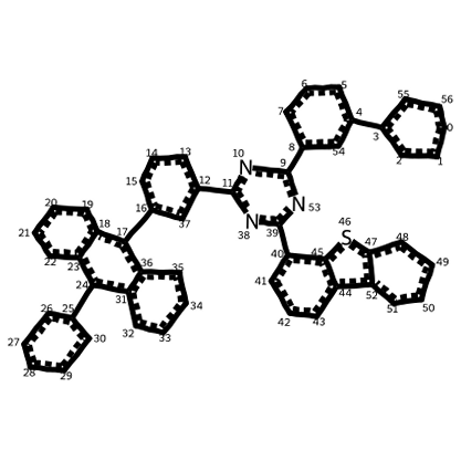 c1ccc(-c2cccc(-c3nc(-c4cccc(-c5c6ccccc6c(-c6ccccc6)c6ccccc56)c4)nc(-c4cccc5c4sc4ccccc45)n3)c2)cc1